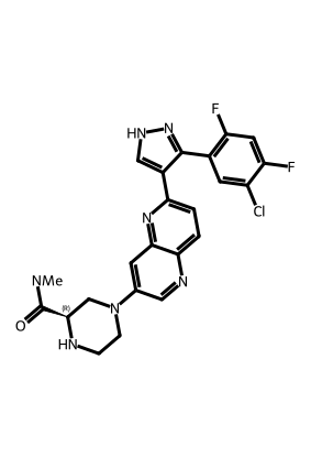 CNC(=O)[C@H]1CN(c2cnc3ccc(-c4c[nH]nc4-c4cc(Cl)c(F)cc4F)nc3c2)CCN1